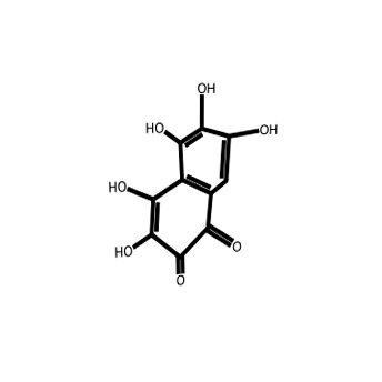 O=C1C(=O)c2cc(O)c(O)c(O)c2C(O)=C1O